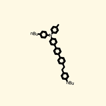 CCCCc1ccc(CCc2ccc(-c3ccc(-c4ccc(N(c5ccc(C)cc5)c5ccc(CCCC)cc5)cc4)cc3)cc2)cc1